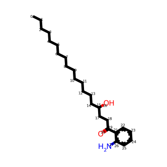 CCCCCCCCCCCCCCCC(O)CCC(=O)c1ccccc1N